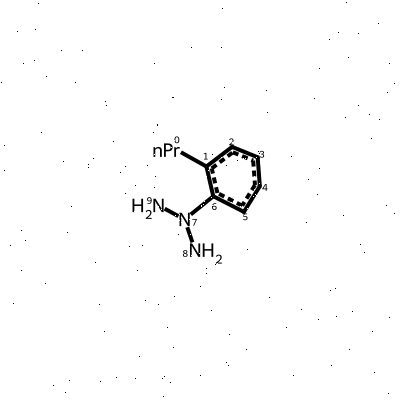 CCCc1ccccc1N(N)N